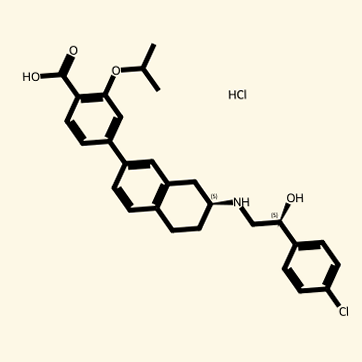 CC(C)Oc1cc(-c2ccc3c(c2)C[C@@H](NC[C@@H](O)c2ccc(Cl)cc2)CC3)ccc1C(=O)O.Cl